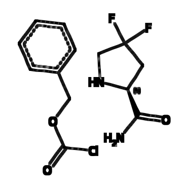 NC(=O)[C@@H]1CC(F)(F)CN1.O=C(Cl)OCc1ccccc1